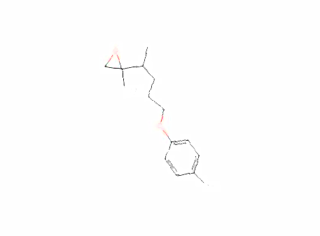 CC(=O)c1ccc(OCCCC(C)C2(C(=O)O)CO2)cc1